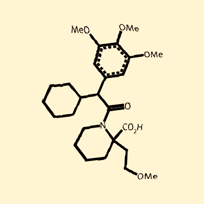 COCCC1(C(=O)O)CCCCN1C(=O)C(c1cc(OC)c(OC)c(OC)c1)C1CCCCC1